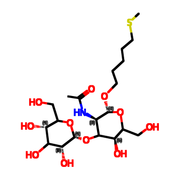 CSCCCCCO[C@@H]1OC(CO)[C@@H](O)C(O[C@H]2OC(CO)[C@@H](O)C(O)[C@H]2O)[C@H]1NC(C)=O